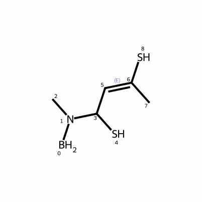 BN(C)C(S)/C=C(\C)S